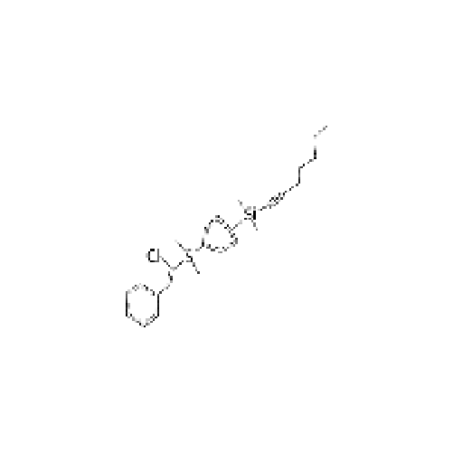 CCCCCC#C[Si](C)(C)c1ccc([Si](C)(C)C(Cl)=Cc2ccccc2)cc1